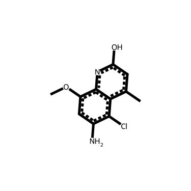 COc1cc(N)c(Cl)c2c(C)cc(O)nc12